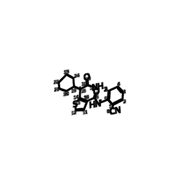 N#Cc1ccccc1NC(=O)c1ccsc1[C](C(N)=O)C1CCCCC1